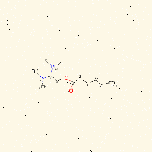 CCN(CC)C(COC(=O)CCCCC(=O)O)N(C)C